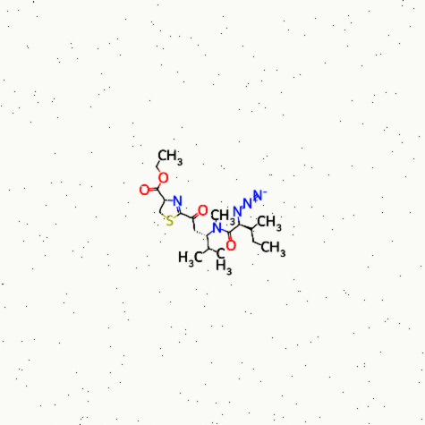 CCOC(=O)C1CSC(C(=O)C[C@@H](C(C)C)N(C)C(=O)[C@@H](N=[N+]=[N-])C(C)CC)=N1